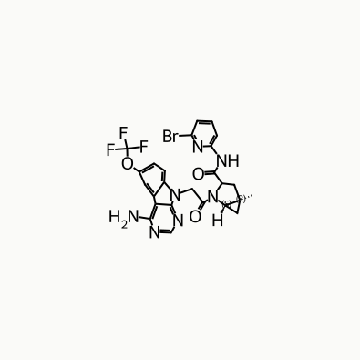 C[C@@]12CC(C(=O)Nc3cccc(Br)n3)N(C(=O)Cn3c4ccc(OC(F)(F)F)cc4c4c(N)ncnc43)[C@H]1C2